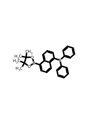 CC1(C)OB(c2cccc3c(B(c4ccccc4)c4ccccc4)cccc23)OC1(C)C